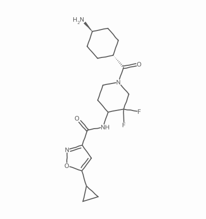 N[C@H]1CC[C@H](C(=O)N2CCC(NC(=O)c3cc(C4CC4)on3)C(F)(F)C2)CC1